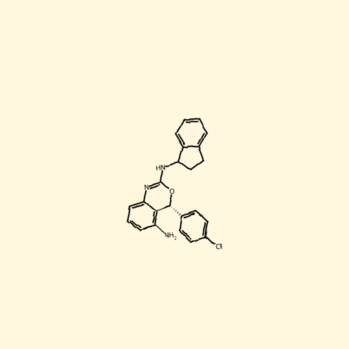 Nc1cccc2c1[C@@H](c1ccc(Cl)cc1)OC(NC1CCc3ccccc31)=N2